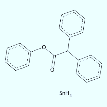 O=C(Oc1ccccc1)C(c1ccccc1)c1ccccc1.[SnH4]